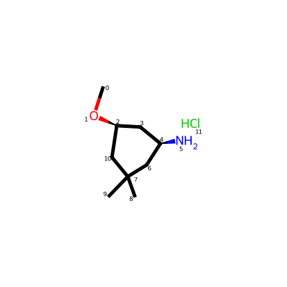 CO[C@H]1C[C@@H](N)CC(C)(C)C1.Cl